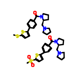 CS(=O)(=O)c1ccc(-c2ccc(C(=O)N3CCC[C@H]3CN3CCCC3)cc2)s1.CSc1ccc(-c2ccc(C(=O)N3CCC[C@H]3CN3CCCC3)cc2)s1